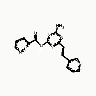 Nc1nc(C=Cc2cccnc2)nc(NC(=O)c2cccnc2)n1